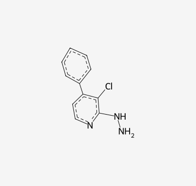 NNc1nccc(-c2ccccc2)c1Cl